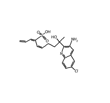 C=C/C=C(\C=C/CCC(C)(O)c1nc2ccc(Cl)cc2cc1N)S(=O)(=O)O